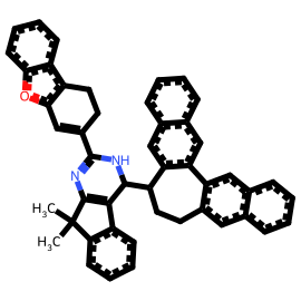 CC1(C)C2=C(c3ccccc31)C(C1CCc3cc4ccccc4cc3-c3cc4ccccc4cc31)NC(C1=Cc3oc4ccccc4c3CC1)=N2